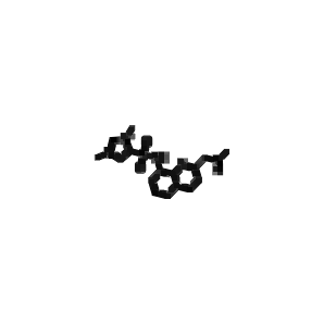 CNCc1ccc2cccc(NS(=O)(=O)c3cn(C)c[n+]3C)c2n1